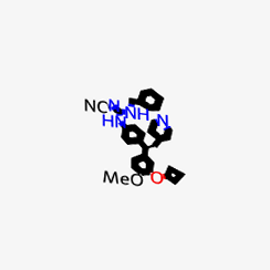 COc1ccc([C@H](Cc2ccncc2)c2ccc(N/C(=N\C#N)NCc3ccccc3)cc2)cc1OC1CCC1